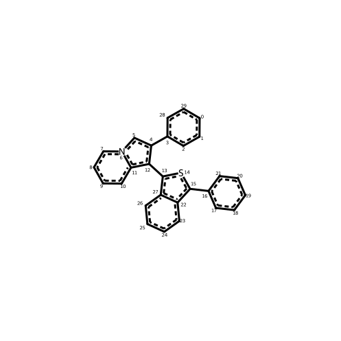 c1ccc(-c2cn3ccccc3c2-c2sc(-c3ccccc3)c3ccccc23)cc1